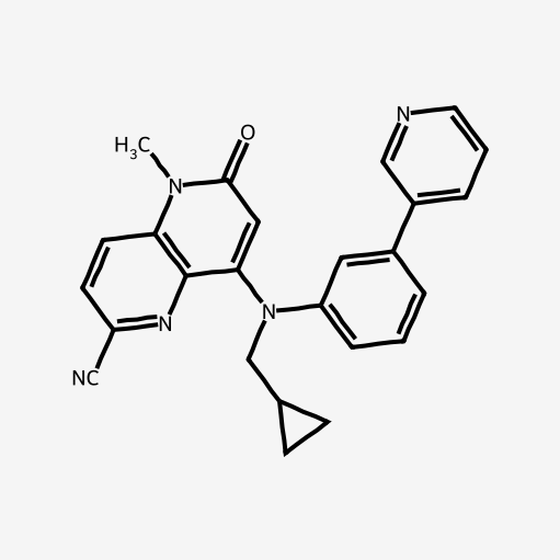 Cn1c(=O)cc(N(CC2CC2)c2cccc(-c3cccnc3)c2)c2nc(C#N)ccc21